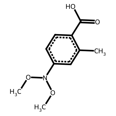 CON(OC)c1ccc(C(=O)O)c(C)c1